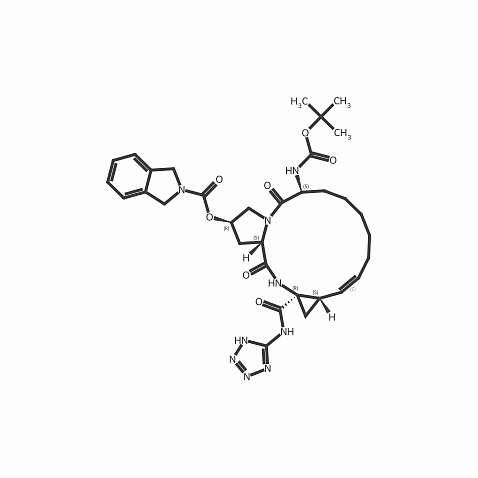 CC(C)(C)OC(=O)N[C@H]1CCCCC/C=C\[C@@H]2C[C@@]2(C(=O)Nc2nnn[nH]2)NC(=O)[C@@H]2C[C@@H](OC(=O)N3Cc4ccccc4C3)CN2C1=O